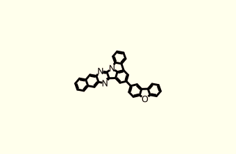 c1ccc2cc3nc4c(nc3cc2c1)c1cc(-c2ccc3oc5ccccc5c3c2)cc2c3ccccc3n4c21